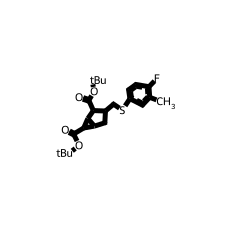 Cc1cc(SCC2CC3C(C(=O)OC(C)(C)C)C3C2C(=O)OC(C)(C)C)ccc1F